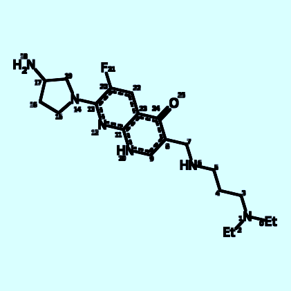 CCN(CC)CCCNCc1c[nH]c2nc(N3CCC(N)C3)c(F)cc2c1=O